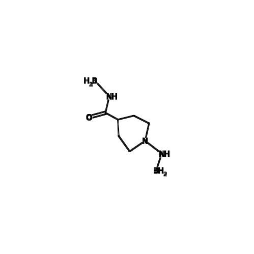 BNC(=O)C1CCN(NB)CC1